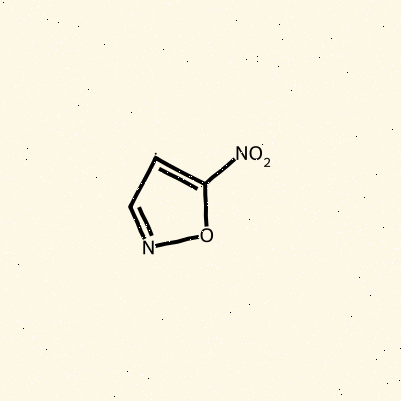 O=[N+]([O-])c1[c]cno1